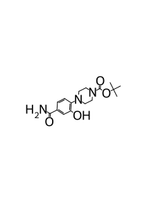 CC(C)(C)OC(=O)N1CCN(c2ccc(C(N)=O)cc2O)CC1